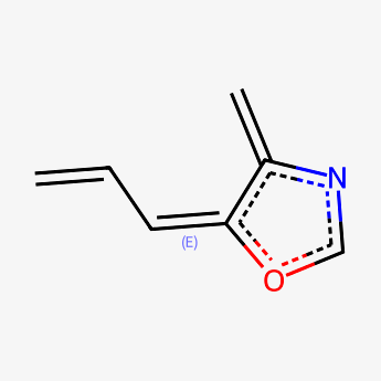 C=C/C=c1/ocnc1=C